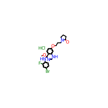 COC1(Nc2ccc(Br)cc2F)N=CNc2cc(OCCCN3CCCC3=O)ccc21.Cl